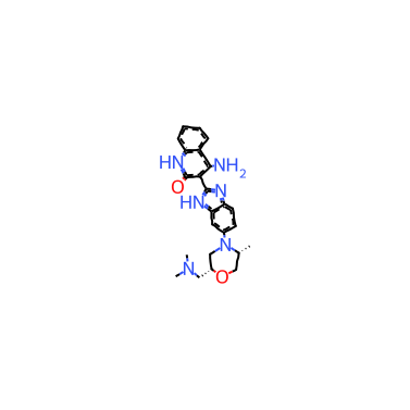 C[C@@H]1CO[C@H](CN(C)C)CN1c1ccc2nc(-c3c(N)c4ccccc4[nH]c3=O)[nH]c2c1